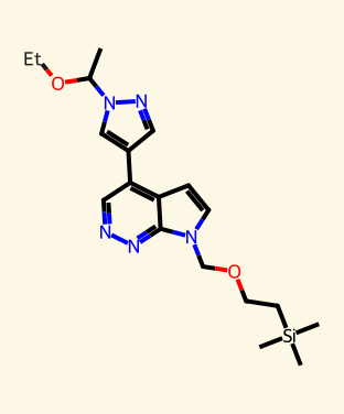 CCOC(C)n1cc(-c2cnnc3c2ccn3COCC[Si](C)(C)C)cn1